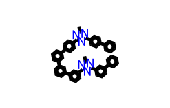 Cc1nc(-c2ccc(-c3ccccc3)cc2)nc(-c2ccc(-c3cccc(-c4cccc(-c5cccc(-c6nc(C)nc(-c7cccc(-c8ccccc8)c7)n6)c5)c4)c3)cc2)n1